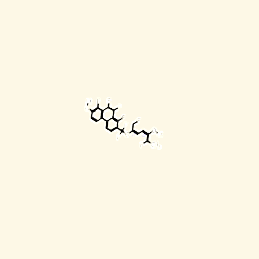 CCO/C(=C/C=C(\CF)OC(F)(F)c1ccc2c(c1F)C(F)C(F)c1c-2ccc(OCC)c1F)C(C)F